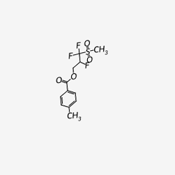 Cc1ccc(C(=O)OCC(F)C(F)(F)S(C)(=O)=O)cc1